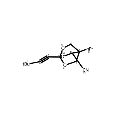 CCCC12COC(C#CC(C)(C)C)(OC1)OC2C#N